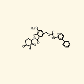 COc1cc(COC(=O)Nc2cc(-c3ccccc3)ccn2)cc2c1CN(C1CCC(=O)NC1=O)C2=O